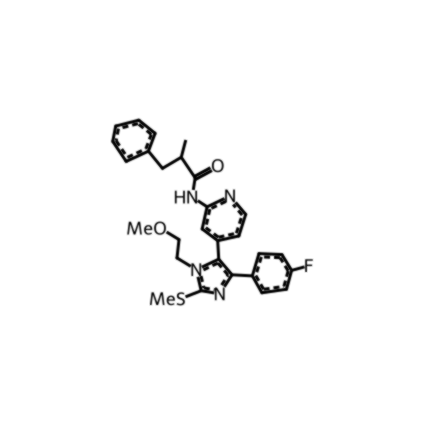 COCCn1c(SC)nc(-c2ccc(F)cc2)c1-c1ccnc(NC(=O)C(C)Cc2ccccc2)c1